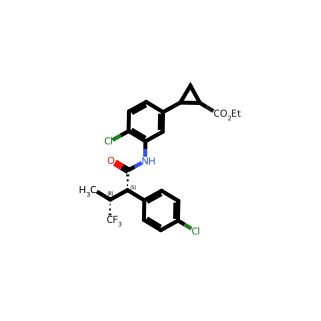 CCOC(=O)C1CC1c1ccc(Cl)c(NC(=O)[C@H](c2ccc(Cl)cc2)[C@@H](C)C(F)(F)F)c1